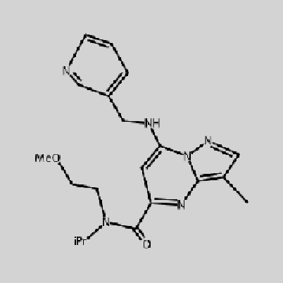 COCCN(C(=O)c1cc(NCc2cccnc2)n2ncc(C)c2n1)C(C)C